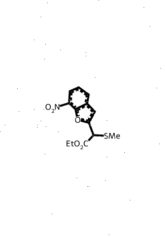 CCOC(=O)C(SC)c1cc2cccc([N+](=O)[O-])c2o1